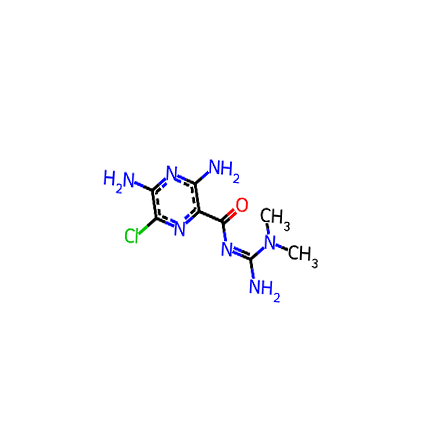 CN(C)C(N)=NC(=O)c1nc(Cl)c(N)nc1N